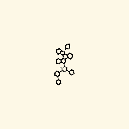 C1=C(c2ccccc2)N=C(c2cccc(-c3ccccc3)c2)NC1c1cc2c3ccccc3c3c(c4ccccc4n3-c3ccccc3)c2c2ccccc12